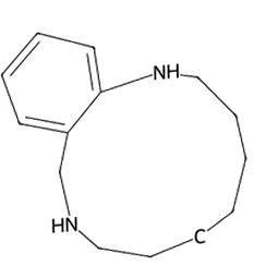 c1ccc2c(c1)CNCCCCCCCN2